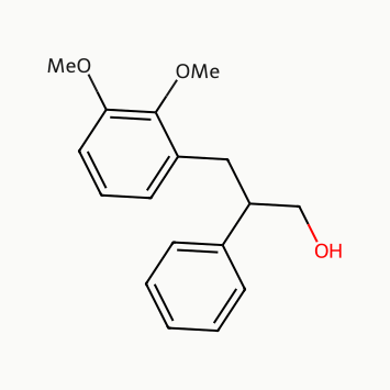 COc1cccc(CC(CO)c2ccccc2)c1OC